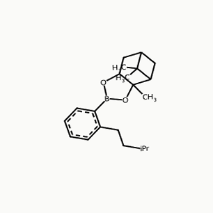 CC(C)CCc1ccccc1B1OC2CC3CC(C3(C)C)C2(C)O1